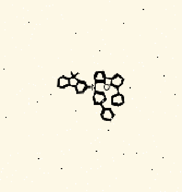 CC1(C)c2ccccc2-c2ccc(N(c3ccc(-c4ccccc4)cc3)c3cccc4c3oc3c(-c5ccccc5)cccc34)cc21